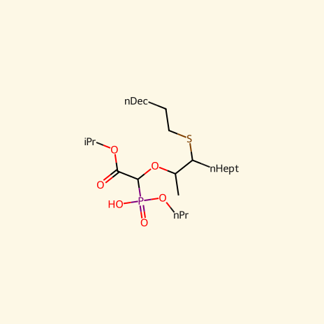 CCCCCCCCCCCCSC(CCCCCCC)C(C)OC(C(=O)OC(C)C)P(=O)(O)OCCC